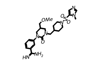 COCC1CN(CC2CCN(S(=O)(=O)c3cncn3C)CC2)C(=O)N(c2cccc(C(=N)N)c2)C1